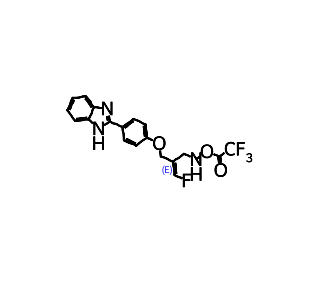 O=C(ONC/C(=C\F)COc1ccc(-c2nc3ccccc3[nH]2)cc1)C(F)(F)F